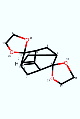 C=C1C2CC3CC(CC1C31OCCO1)C21OCCO1